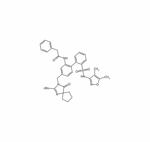 CCCCC1=NC2(CCCC2)C(=O)N1Cc1ccc(-c2ccccc2S(=O)(=O)Nc2noc(C)c2C)c(NC(=O)Cc2ccccc2)c1